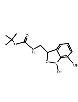 CC(C)(C)OC(=O)NCC1OB(O)c2c(O)cccc21